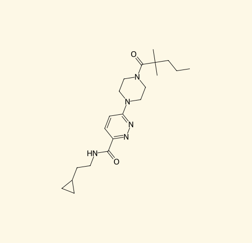 CCCC(C)(C)C(=O)N1CCN(c2ccc(C(=O)NCCC3CC3)nn2)CC1